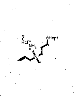 C=CC[N+](C)(C)CCCCCCCCCC.Cl.N.[Cl-]